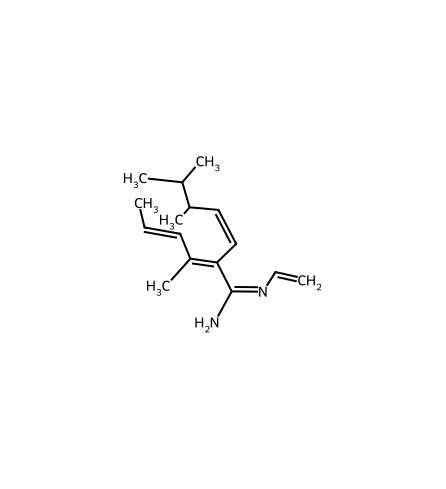 C=C/N=C(/N)C(/C=C\C(C)C(C)C)=C(C)/C=C/C